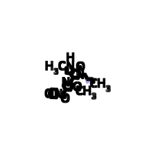 C/C=C/Cn1cc(-c2ncc(C(=O)N3CCOCC3)cc2OC)c2cc(C)[nH]c2c1=O